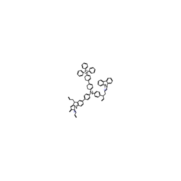 C=C/C=c1\c(=C)cc2n1-c1ccc(-c3ccc(N(C4=CC=C(C5=CC=C([Si](c6ccccc6)(c6ccccc6)c6ccccc6)CC5)CC4)c4ccc(C(C=C)C/C=C/n5c6ccccc6c6ccccc65)cc4)cc3)cc1C2CC=C